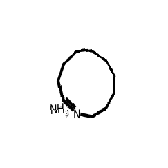 C1=NCCCCCCCCC1.N